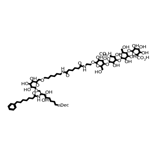 CCCCCCCCCCCCCC[C@@H](O)[C@@H](O)[C@H](COC1OC(COCCCCCCNC(=O)CCCCC(=O)NCCOC2OC(CO)C(OC3OC(C(=O)O)C(O)C(OC4OC(CO)C(OC5OC(C(=O)O)C(O)C(O)C5O)C(O)C4O)C3O)C(O)C2O)C(O)C(O)C1O)NC(=O)CCCCCCc1ccccc1